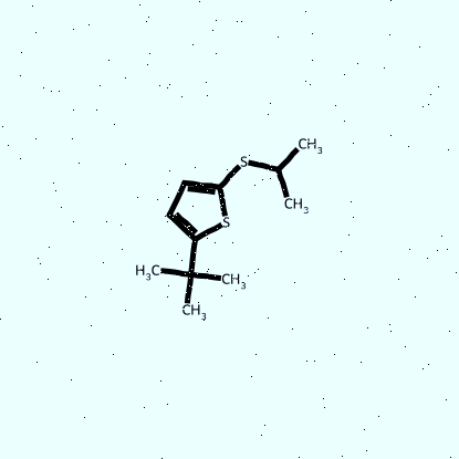 CC(C)Sc1ccc(C(C)(C)C)s1